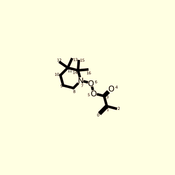 C=C(C)C(=O)OON1CCCC(C)(C)C1(C)C